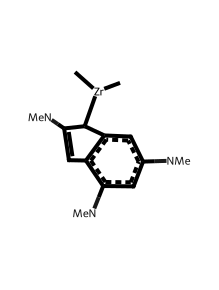 CNC1=Cc2c(NC)cc(NC)cc2[CH]1[Zr]([CH3])[CH3]